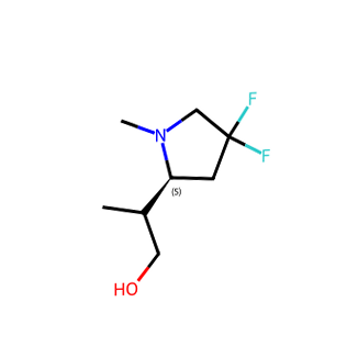 CC(CO)[C@@H]1CC(F)(F)CN1C